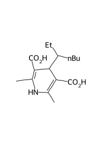 CCCCC(CC)C1C(C(=O)O)=C(C)NC(C)=C1C(=O)O